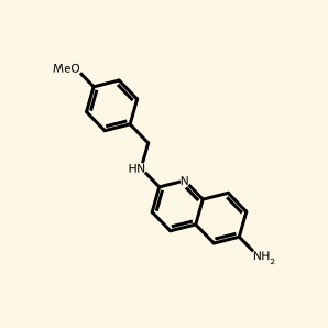 COc1ccc(CNc2ccc3cc(N)ccc3n2)cc1